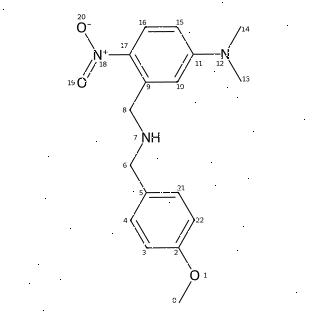 COc1ccc(CNCc2cc(N(C)C)ccc2[N+](=O)[O-])cc1